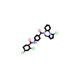 O=C(Nc1ccc(C(=O)N2Cc3ccc(Cl)n3-c3ccccc32)cc1)c1ccc(Cl)cc1Cl